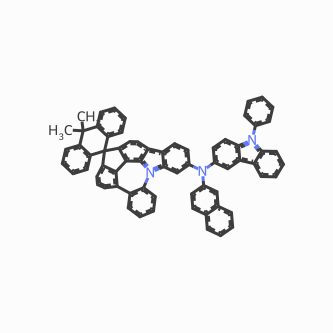 CC1(C)c2ccccc2C2(c3ccccc31)c1cccc3c1-c1c2ccc2c4ccc(N(c5ccc6ccccc6c5)c5ccc6c(c5)c5ccccc5n6-c5ccccc5)cc4n(c12)-c1ccccc1-3